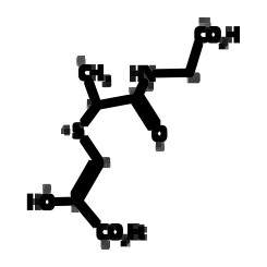 CCOC(=O)C(O)=CSC(C)C(=O)NCC(=O)O